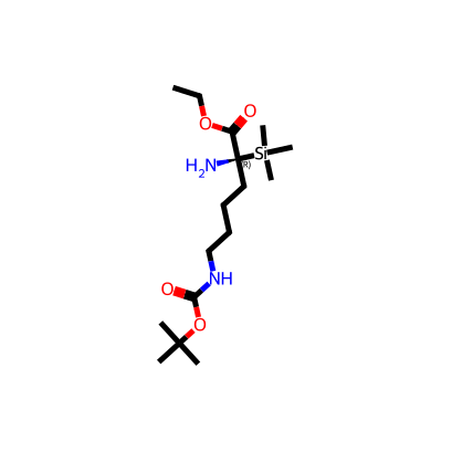 CCOC(=O)[C@@](N)(CCCCNC(=O)OC(C)(C)C)[Si](C)(C)C